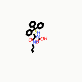 C=CCCNC(=O)C(CSC(c1ccccc1)(c1ccccc1)c1ccccc1)NC(=O)O